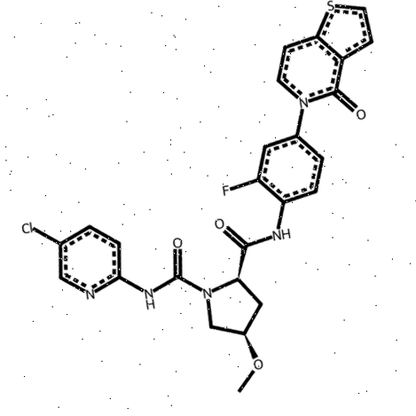 CO[C@@H]1C[C@H](C(=O)Nc2ccc(-n3ccc4sccc4c3=O)cc2F)N(C(=O)Nc2ccc(Cl)cn2)C1